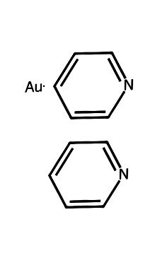 [Au].c1ccncc1.c1ccncc1